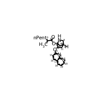 CCCCCC(C)C(=O)O[C@]12C[C@H](CN1)C[C@H]2Oc1ccc2cccnc2n1